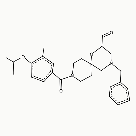 Cc1cc(C(=O)N2CCC3(CC2)CN(Cc2ccccc2)CC(C=O)O3)ccc1OC(C)C